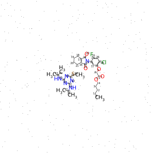 CCCCCOC(=O)COc1cc(N2C(=O)C3=C(CCCC3)C2=O)c(F)cc1Cl.CSc1nc(NC(C)C)nc(NC(C)C)n1